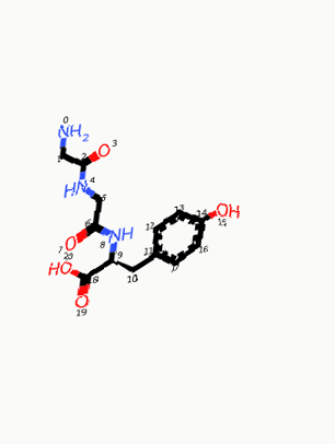 NCC(=O)NCC(=O)N[C@@H](Cc1ccc(O)cc1)C(=O)O